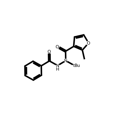 Cc1occc1C(=O)N(NC(=O)c1ccccc1)C(C)(C)C